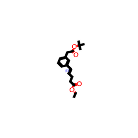 CCOC(=O)CC/C=C/c1cccc(CC(=O)OC(C)(C)C)c1